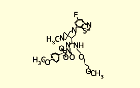 COCCCOCCNC(=NN(C=O)S(=O)(=O)c1ccc(OC)cc1)C1CN(c2cc(F)cc3ncsc23)CC12CN(C)C2